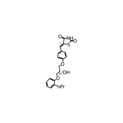 CCCc1ccccc1OC[C@@H](O)COc1ccc(/C=C2\SC(=O)NC2=O)cc1